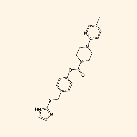 Cc1ccc(N2CCN(C(=O)Oc3ccc(CSc4ncc[nH]4)cc3)CC2)nc1